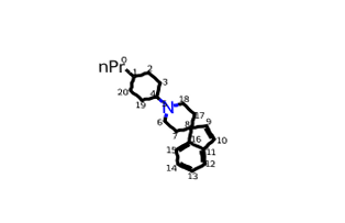 CCCC1CCC(N2CCC3(C=Cc4ccccc43)CC2)CC1